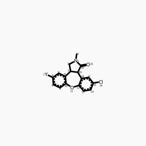 CN1CC2c3c[c]([Y])ccc3Oc3ccc(Cl)cc3C2C1=O